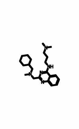 CN(C)CCCNc1nc(CN(C)CC2CCCCC2)nc2ccccc12